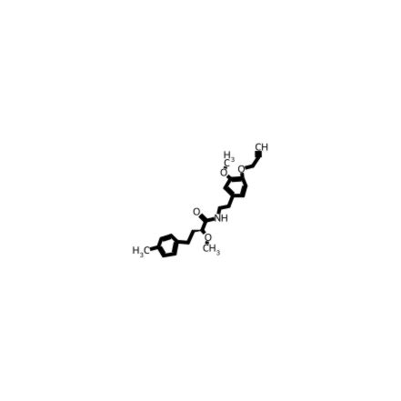 C#CCOc1ccc(CCNC(=O)[C@H](CCc2ccc(C)cc2)OC)cc1OC